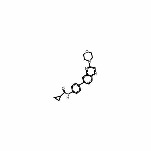 O=C(Nc1ccc(-c2ccc3ncc(N4CCOCC4)nc3c2)cc1)C1CC1